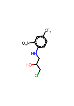 O=[N+]([O-])c1cc(C(F)(F)F)ccc1NCC(O)CCl